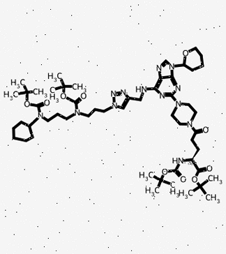 CC(C)(C)OC(=O)N[C@@H](CCC(=O)N1CCN(c2nc(NCc3cn(CCCN(CCCN(C(=O)OC(C)(C)C)C4CCCCC4)C(=O)OC(C)(C)C)nn3)c3ncn(C4CCCCO4)c3n2)CC1)C(=O)OC(C)(C)C